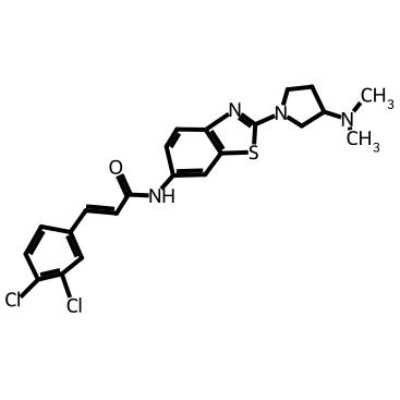 CN(C)C1CCN(c2nc3ccc(NC(=O)C=Cc4ccc(Cl)c(Cl)c4)cc3s2)C1